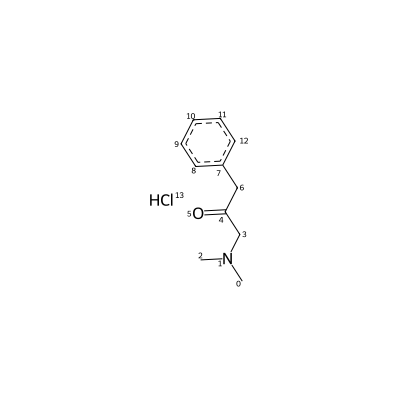 CN(C)CC(=O)Cc1ccccc1.Cl